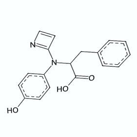 O=C(O)C(Cc1ccccc1)N(C1=NC=C1)c1ccc(O)cc1